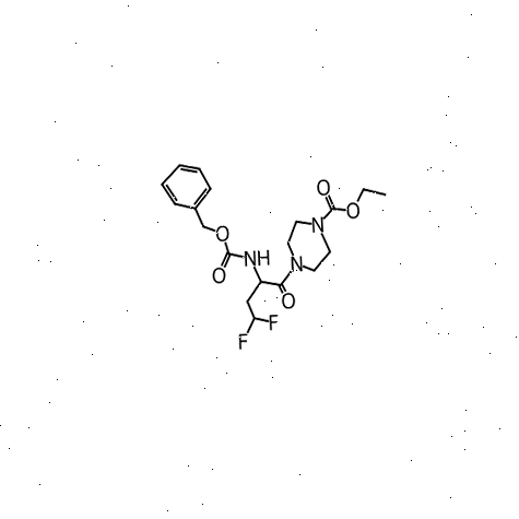 CCOC(=O)N1CCN(C(=O)C(CC(F)F)NC(=O)OCc2ccccc2)CC1